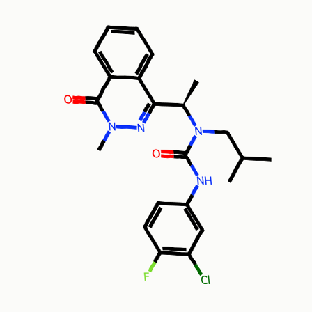 CC(C)CN(C(=O)Nc1ccc(F)c(Cl)c1)[C@H](C)c1nn(C)c(=O)c2ccccc12